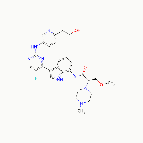 COC[C@H](C(=O)Nc1cccc2c(-c3nc(Nc4ccc(CCO)nc4)ncc3F)c[nH]c12)N1CCN(C)CC1